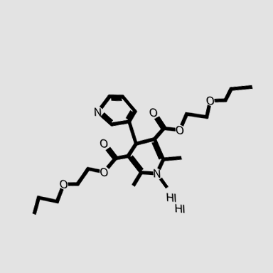 CCCOCCOC(=O)C1=C(C)N(C)C(C)=C(C(=O)OCCOCCC)C1c1cccnc1.I.I